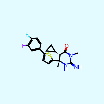 CN1C(=N)N[C@](C)(c2ccc(-c3ccc(F)c(I)c3)s2)[C@H](C2CC2)C1=O